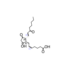 CCCCCC(=O)/C=C/[C@H]1C(=O)C[C@H](O)[C@@H]1C/C=C\CCCC(=O)O